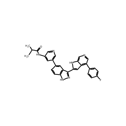 CC(C)C(=O)Nc1cncc(-c2ccc3[nH]nc(-c4cc5c(-c6ccc(F)cc6)cncc5[nH]4)c3c2)c1